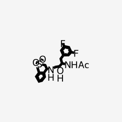 CC(=O)NC(Cc1cc(F)cc(F)c1)C(O)CNC1CS(=O)(=O)Cc2ccccc21